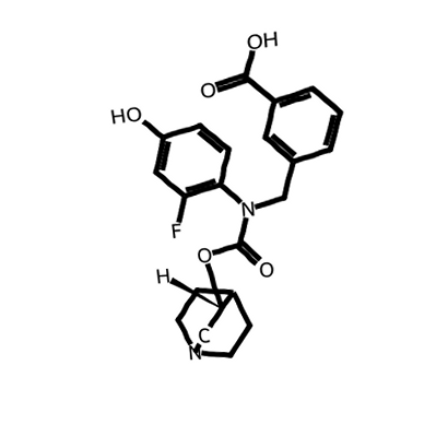 O=C(O)c1cccc(CN(C(=O)O[C@H]2CN3CCC2CC3)c2ccc(O)cc2F)c1